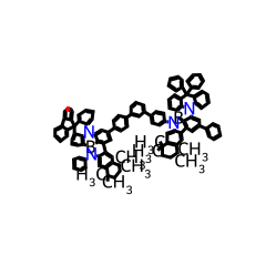 CC1(C)CCC(C)(C)c2cc3c(cc21)-c1cc(-c2ccccc2)cc2c1B(c1cccc4c1N2c1ccccc1C4(c1ccccc1)c1ccccc1)N3c1ccc(-c2cccc(-c3ccc(-c4cc5c6c(c4)N4c7ccccc7C7(c8ccccc8-c8ccccc87)c7cccc(c74)B6N(c4ccccc4)c4cc6c(cc4-5)C(C)(C)CCC6(C)C)cc3)c2)cc1